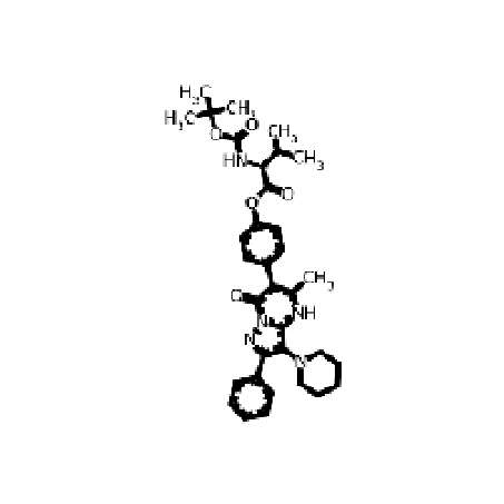 Cc1[nH]c2c(N3CCCCC3)c(-c3ccccc3)nn2c(=O)c1-c1ccc(OC(=O)[C@@H](NC(=O)OC(C)(C)C)C(C)C)cc1